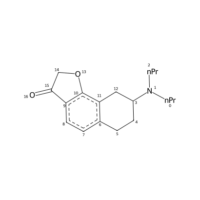 CCCN(CCC)C1CCc2ccc3c(c2C1)OCC3=O